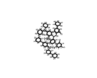 Cc1cc(C)c(-c2cc(-c3cc(-c4ccccc4)ccc3Nc3cccc(-c4ccccc4)c3)c3c(c2)C(Cc2ccc(-c4ccccc4)cc2C)c2ccc(N(c4ccccc4)c4ccccc4)cc2B3)c(C)c1